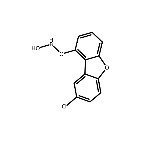 OBOc1cccc2oc3ccc(Cl)cc3c12